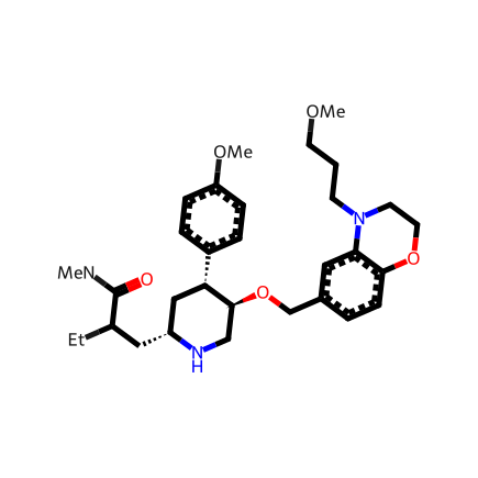 CCC(C[C@@H]1C[C@H](c2ccc(OC)cc2)[C@@H](OCc2ccc3c(c2)N(CCCOC)CCO3)CN1)C(=O)NC